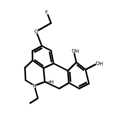 CCN1CCc2cc(OCF)cc3c2[C@H]1Cc1ccc(O)c(O)c1-3